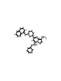 Bc1cnn2c(NCc3cccnc3)cc(C3CCCN(Cc4cccc5ccccc45)C3)nc12